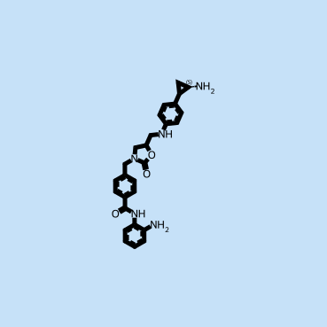 Nc1ccccc1NC(=O)c1ccc(CN2CC(CNc3ccc(C4C[C@@H]4N)cc3)OC2=O)cc1